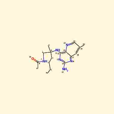 CCCCC(C)(CNC(C)=O)Nc1nc(N)nc2cc(C)cnc12